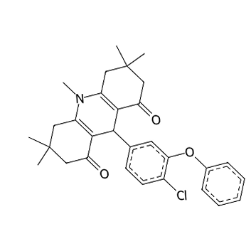 CN1C2=C(C(=O)CC(C)(C)C2)C(c2ccc(Cl)c(Oc3ccccc3)c2)C2=C1CC(C)(C)CC2=O